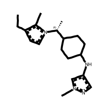 CCc1ccn([C@H](C)C2CCC(Nc3cnn(C)c3)CC2)c1C